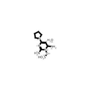 NC1=NC(N2CCCC2)=CC(N)N1OS(=O)(=O)O.O